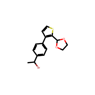 CC(Br)c1ccc(-c2ccsc2C2OCCO2)cc1